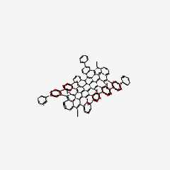 Ic1c(-c2cccc(-c3ccccc3)c2)c2c3c(I)c(-c4cccc(-c5ccccc5)c4)c4c5c(I)c(-c6cccc(-c7ccccc7)c6)c6c7c(I)c(-c8cccc(-c9ccccc9)c8)c8cccc9c(I)c(-c%10cccc(-c%11ccccc%11)c%10)c(c%10c(I)c(-c%11cccc(-c%12ccccc%12)c%11)c(c%11c(I)c(-c%12cccc(-c%13ccccc%13)c%12)c(c%12c(I)c(-c%13cccc(-c%14ccccc%14)c%13)c%13cccc1c%13c2%12)c3c%114)c5c%106)c7c98